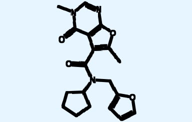 Cc1oc2ncn(C)c(=O)c2c1C(=O)N(Cc1ccco1)C1CCCC1